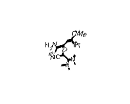 CO/C(=C/C(OC(C#N)C(N(C)C)N(C)C)=C(\N)C(C)C)C(C)C